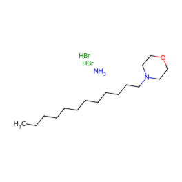 Br.Br.CCCCCCCCCCCCN1CCOCC1.N